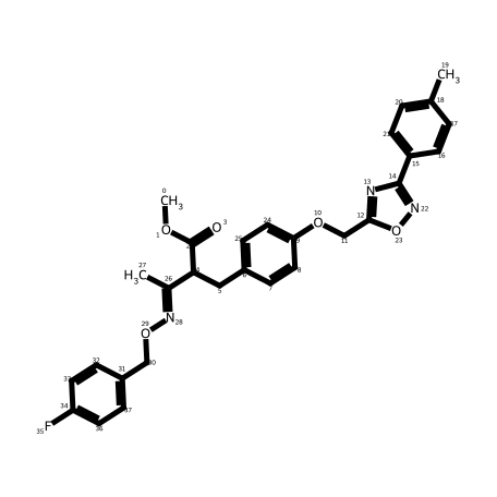 COC(=O)C(Cc1ccc(OCc2nc(-c3ccc(C)cc3)no2)cc1)C(C)=NOCc1ccc(F)cc1